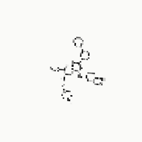 COc1cc2nc(-c3cccc(-c4ccccc4)c3)nc(Nc3ccc4[nH]ncc4c3)c2cc1OCCN1CCN(C)CC1